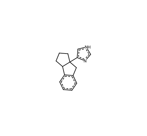 c1ccc2c(c1)CC1(c3c[nH]cn3)CCCC21